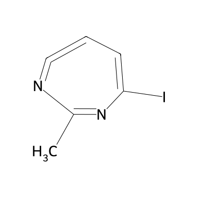 CC1=NC(I)=CC=C=N1